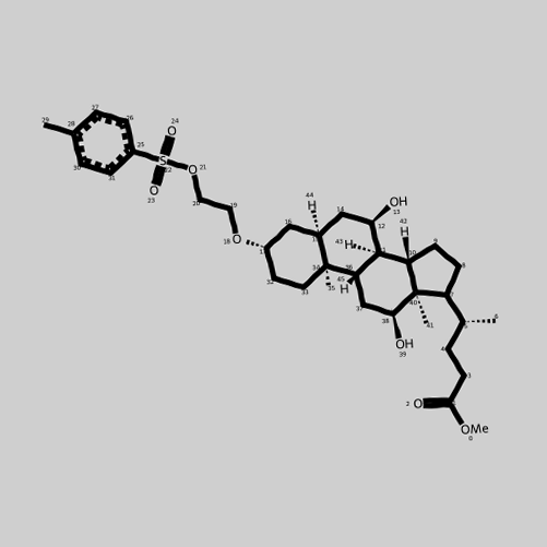 COC(=O)CC[C@@H](C)C1CC[C@H]2[C@@H]3[C@H](O)C[C@@H]4C[C@@H](OCCOS(=O)(=O)c5ccc(C)cc5)CC[C@]4(C)[C@H]3C[C@H](O)[C@]12C